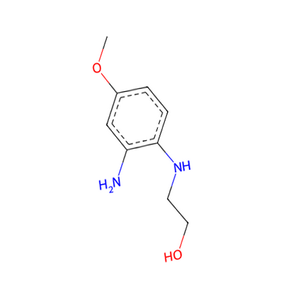 COc1ccc(NCCO)c(N)c1